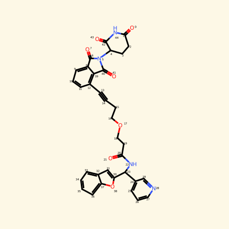 O=C1CCC(N2C(=O)c3cccc(C#CCCOCCC(=O)NC(c4cccnc4)c4cc5ccccc5o4)c3C2=O)C(=O)N1